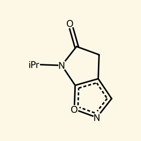 CC(C)N1C(=O)Cc2cnoc21